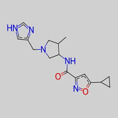 CC1CN(Cc2c[nH]cn2)CC1NC(=O)c1cc(C2CC2)on1